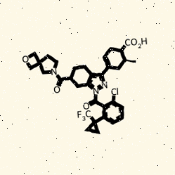 C[C@H]1CC(c2nn(C(=O)c3c(Cl)cccc3C3(C(F)(F)F)CC3)c3c2CCC(C(=O)N2CCC4(COC4)C2)C3)=CCC1C(=O)O